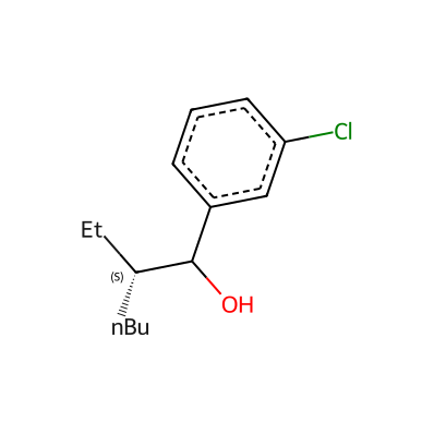 CCCC[C@H](CC)C(O)c1cccc(Cl)c1